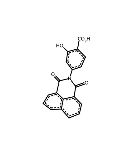 O=C(O)c1ccc(N2C(=O)c3cccc4cccc(c34)C2=O)cc1O